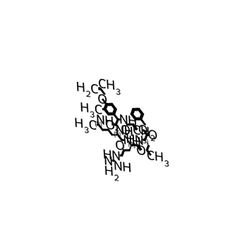 C=CC(=O)NC(C(=O)N[C@H](CCC[C@@H](C)N)C(=O)N[C@H](CCCNC(=N)N)C(=O)N[C@@H](CCC)C(=O)OCc1ccccc1)c1ccc(OCC(=C)C)c(C)c1